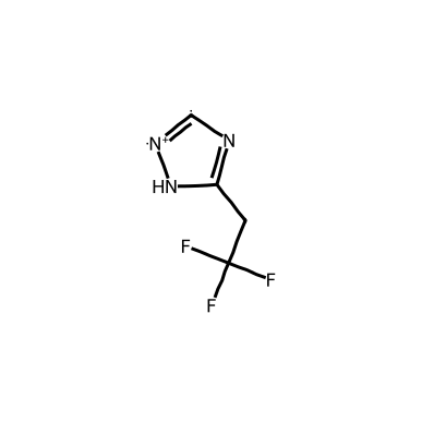 FC(F)(F)CC1=N[C]=[N+]N1